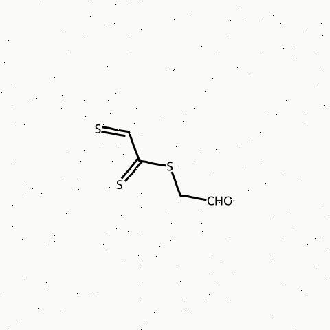 O=[C]CSC(=S)C=S